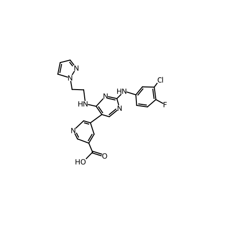 O=C(O)c1cncc(-c2cnc(Nc3ccc(F)c(Cl)c3)nc2NCCn2cccn2)c1